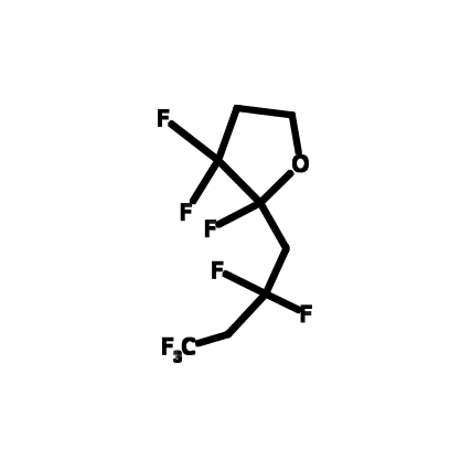 FC(F)(F)CC(F)(F)CC1(F)OCCC1(F)F